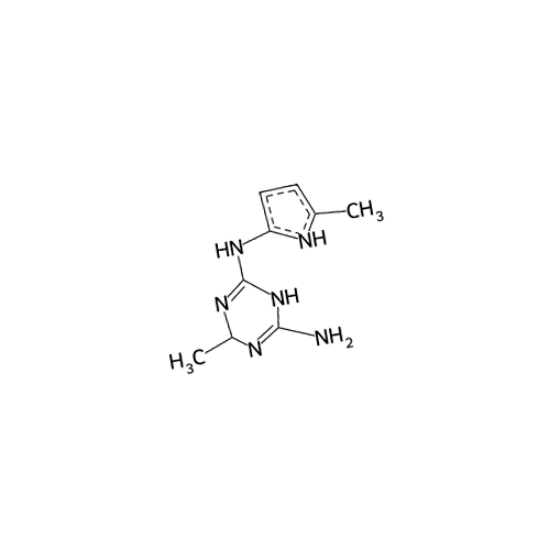 Cc1ccc(NC2=NC(C)N=C(N)N2)[nH]1